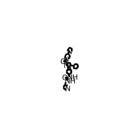 O=C(NCc1cccnc1)Nc1ccc(-n2nc(C(=O)N3CCC(N4CCCC4)CC3)cc2-c2ccccc2)cc1